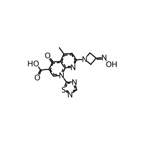 Cc1cc(N2CC(=NO)C2)nc2c1c(=O)c(C(=O)O)cn2-c1ncns1